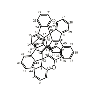 C1=CCC2C(=C1)Oc1cccc(-c3cccc4c3C3(c5ccccc5-4)c4ccccc4-c4c3ccc3ccccc43)c1C21c2ccccc2-c2ccccc21